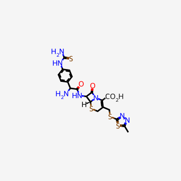 Cc1nnc(SCC2=C(C(=O)O)N3C(=O)C(NC(=O)C(N)c4ccc(NC(N)=S)cc4)[C@H]3SC2)s1